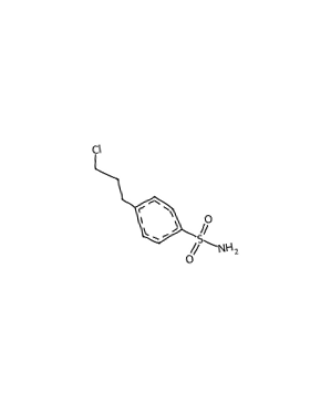 NS(=O)(=O)c1ccc(CCCCl)cc1